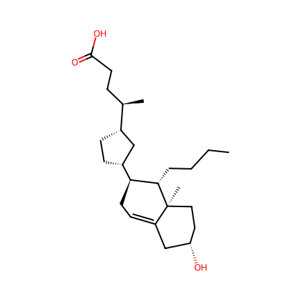 CCCC[C@H]1[C@H]([C@@H]2CC[C@H]([C@H](C)CCC(=O)O)C2)CC=C2C[C@@H](O)CC[C@@]21C